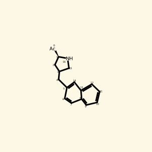 CC(=O)[C@@H]1CC(Cc2ccc3ccccc3c2)CN1